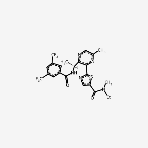 CCN(C)C(=O)c1cnc(-c2nc(C)cnc2[C@@H](C)NC(=O)c2cc(C(F)(F)F)cc(C(F)(F)F)c2)s1